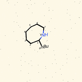 CCCCC1CCCCCCN1